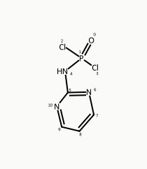 O=P(Cl)(Cl)Nc1ncccn1